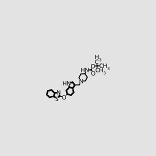 CC(C)(C)OC(=O)NC1CCN(Cc2c[nH]c3cc(Oc4nc5ccccc5s4)ccc23)CC1